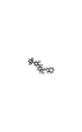 CN1[C@@H]2CC[C@H]1CN(c1ccc(Nc3ncc(C(F)(F)F)c(NCCCN4CCOCCC4=O)n3)c(Cl)c1)C2